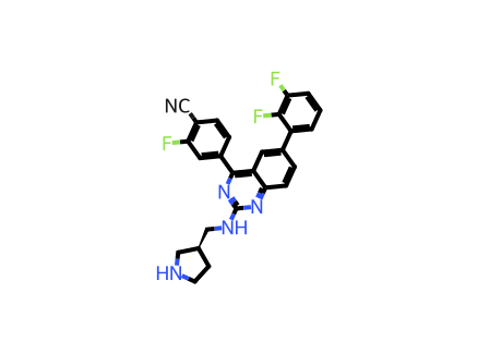 N#Cc1ccc(-c2nc(NC[C@H]3CCNC3)nc3ccc(-c4cccc(F)c4F)cc23)cc1F